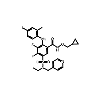 CCN(Cc1ccncc1)S(=O)(=O)c1cc(C(=O)NOCC2CC2)c(Nc2ccc(I)cc2C)c(F)c1F